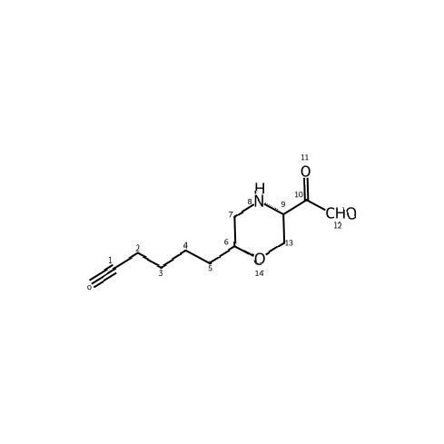 C#CCCCCC1CNC(C(=O)C=O)CO1